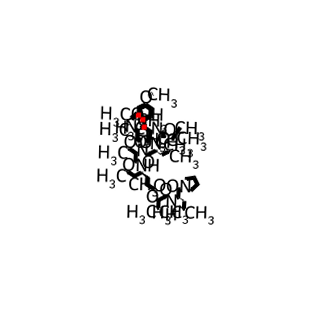 CC[C@H](C)[C@H](CCC(=O)O[C@H](C(=O)N[C@@H](CC(C)C)C(=O)N1CCCC1)C(C)C)NC(=O)[C@@H](NC(=O)[C@@H](CC(C)C)N(C)C(=O)[C@@H](NC(=O)OC(C)(C)C)C(C)C)[C@@H](C)OC(=O)[C@H](Cc1ccc(OC)cc1)N(C)C(C)=O